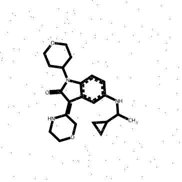 CC(Nc1ccc2c(c1)/C(=C1\COCCN1)C(=O)N2C1CCOCC1)C1CC1